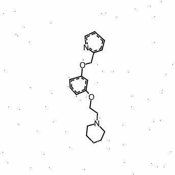 [c]1ccc(OCc2ccccn2)cc1OCCN1CCCCC1